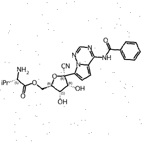 CC(C)[C@H](N)C(=O)OC[C@H]1O[C@@](C#N)(c2ccc3c(NC(=O)c4ccccc4)ncnn23)[C@H](O)[C@@H]1O